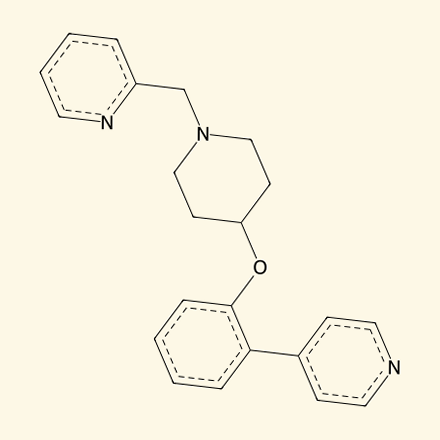 c1ccc(CN2CCC(Oc3ccccc3-c3ccncc3)CC2)nc1